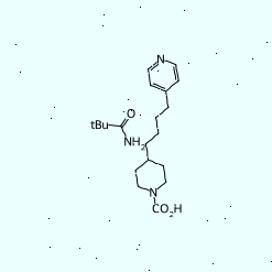 CC(C)(C)C(N)=O.O=C(O)N1CCC(CCCCc2ccncc2)CC1